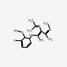 C/N=C(C)\C(N=C(C)C)=C(/N)NC1C=CC=C(F)C1OC(C)C